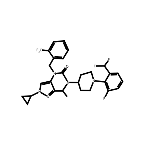 CC1c2nn(C3CC3)cc2N(Cc2ccccc2C(F)(F)F)C(=O)N1C1CCN(c2c(F)cccc2C(F)F)CC1